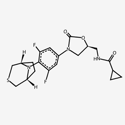 O=C(NC[C@H]1CN(c2cc(F)c(N3[C@@H]4CC[C@H]3CSC4)c(F)c2)C(=O)O1)C1CC1